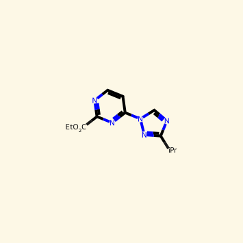 CCOC(=O)c1nccc(-n2cnc(C(C)C)n2)n1